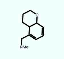 CNCC1=CC=CC2OCCCC12